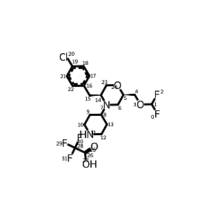 FC(F)OC[C@H]1CN(C2CCNCC2)[C@@H](Cc2ccc(Cl)cc2)CO1.O=C(O)C(F)(F)F